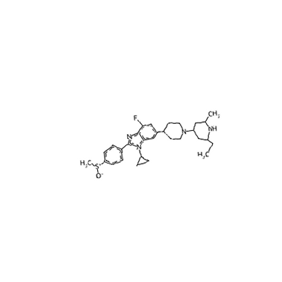 CCC1CC(N2CCC(c3cc(F)c4nc(-c5ccc([S+](C)[O-])cc5)n(C5CC5)c4c3)CC2)CC(C)N1